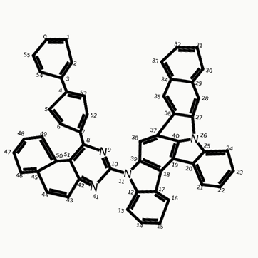 c1ccc(-c2ccc(-c3nc(-n4c5ccccc5c5c6c7ccccc7n7c8cc9ccccc9cc8c(cc54)c67)nc4ccc5ccccc5c34)cc2)cc1